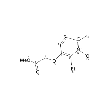 CCc1c(OCC(=O)OC)ccc(C)[n+]1[O-]